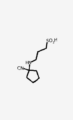 [C-]#[N+]C1(NCCCS(=O)(=O)O)CCCC1